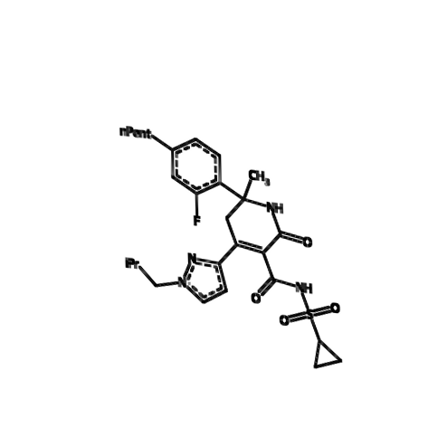 CCCCCc1ccc(C2(C)CC(c3ccn(CC(C)C)n3)=C(C(=O)NS(=O)(=O)C3CC3)C(=O)N2)c(F)c1